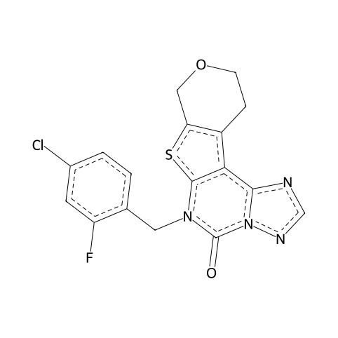 O=c1n(Cc2ccc(Cl)cc2F)c2sc3c(c2c2ncnn12)CCOC3